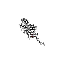 CCCCCCCC(=O)NC(CCC)C(=O)N[C@H]1C(CO)OCC(NC(=O)Nc2cccc(C(F)(F)F)c2)C1O[C@@H]1OC(CO)[C@@H](O)C(O)C1NC(=O)Nc1cccc(C(F)(F)F)c1